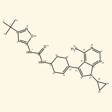 CC(C)(C)c1cc(NC(=O)NC2CC=C(c3cn(C4CC4)c4ncnc(N)c34)CC2)on1